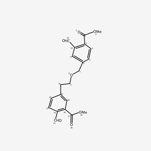 COC(=O)c1ccc(COCCc2ccc(C=O)c(C(=O)OC)c2)cc1C=O